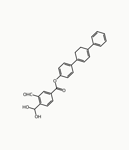 O=Cc1cc(C(=O)Oc2ccc(C3=CC=C(c4ccccc4)CC3)cc2)ccc1C(O)O